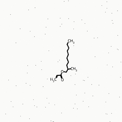 C=CC(=O)OCC(C)CCCCCCCC